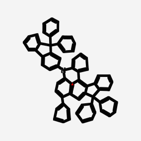 c1ccc(-c2ccc(N(c3ccc4c(c3)C(c3ccccc3)(c3ccccc3)c3ccccc3-4)c3ccccc3-c3cccc4c3-c3ccccc3C4(c3ccccc3)c3ccccc3)cc2)cc1